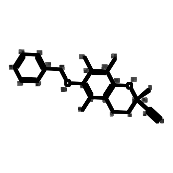 C#C[C@]1(C)CCc2c(C)c(OCc3ccccc3)c(C)c(C)c2O1